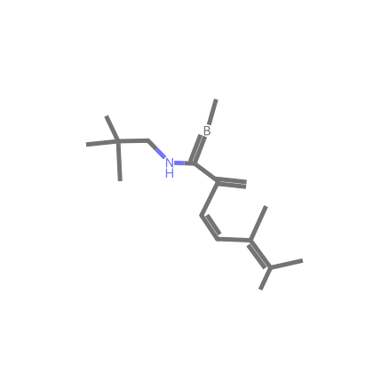 C=C(/C=C\C(C)=C(C)C)/C(=B\C)NCC(C)(C)C